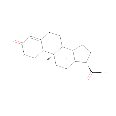 CC(=O)[C@@H]1CC[C@@H]2[C@@H]3CCC4=CC(=O)CC[C@@H]4[C@H]3CC[C@@]21C